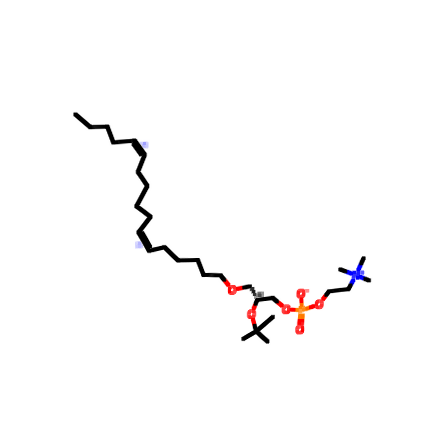 CCCC/C=C\CCCC/C=C\CCCCCOC[C@H](COP(=O)([O-])OCC[N+](C)(C)C)OC(C)(C)C